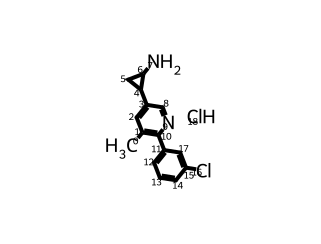 Cc1cc(C2CC2N)cnc1-c1cccc(Cl)c1.Cl